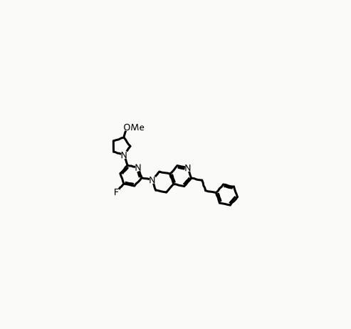 COC1CCN(c2cc(F)cc(N3CCc4cc(CCc5ccccc5)ncc4C3)n2)C1